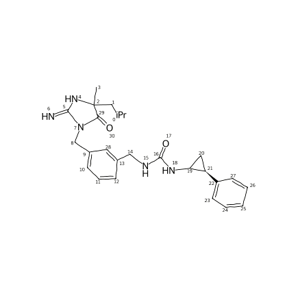 CC(C)CC1(C)NC(=N)N(Cc2cccc(CNC(=O)NC3C[C@H]3c3ccccc3)c2)C1=O